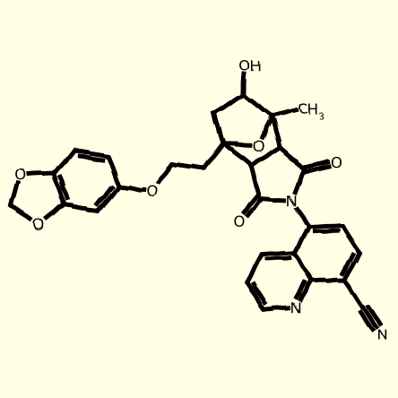 CC12OC(CCOc3ccc4c(c3)OCO4)(CC1O)C1C(=O)N(c3ccc(C#N)c4ncccc34)C(=O)C12